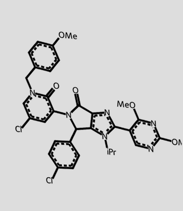 COc1ccc(Cn2cc(Cl)cc(N3C(=O)c4nc(-c5cnc(OC)nc5OC)n(C(C)C)c4C3c3ccc(Cl)cc3)c2=O)cc1